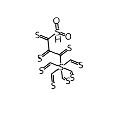 O=[SH](=O)C(=S)C(=S)C(=S)S(C=S)(C=S)(C=S)(C=S)C=S